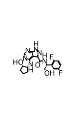 O=C(N[C@H](CO)c1cc(F)ccc1F)c1n[nH]c2ncnc(N[C@@H]3CCC[C@H]3O)c12